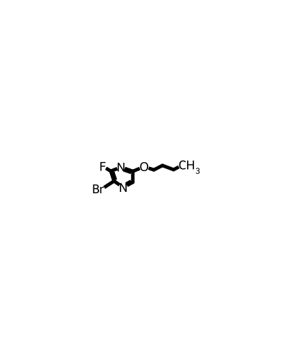 CCCCOc1cnc(Br)c(F)n1